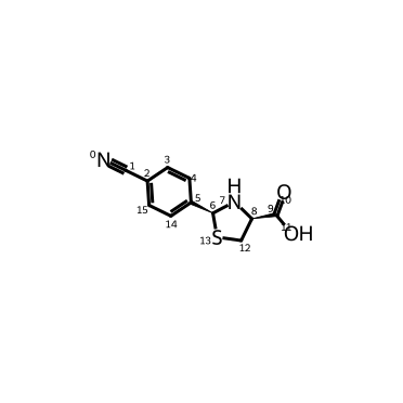 N#Cc1ccc([C@H]2N[C@@H](C(=O)O)CS2)cc1